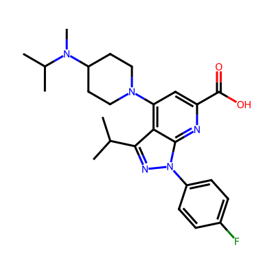 CC(C)c1nn(-c2ccc(F)cc2)c2nc(C(=O)O)cc(N3CCC(N(C)C(C)C)CC3)c12